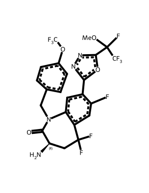 COC(F)(c1nnc(-c2cc3c(cc2F)C(F)(F)C[C@@H](N)C(=O)N3Cc2ccc(OC(F)(F)F)cc2)o1)C(F)(F)F